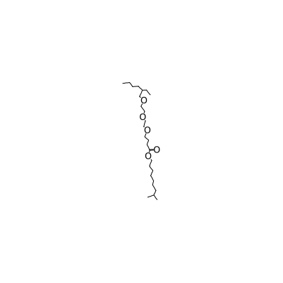 CCCCC(CC)COCCOCCOCCCC(=O)OCCCCCCCC(C)C